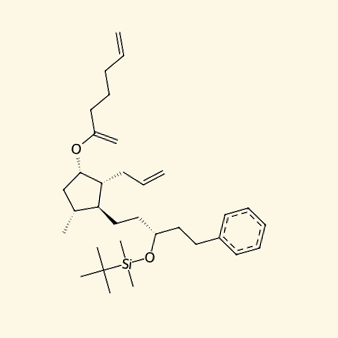 C=CCCCC(=C)O[C@H]1C[C@@H](C)[C@H](CC[C@H](CCc2ccccc2)O[Si](C)(C)C(C)(C)C)[C@H]1CC=C